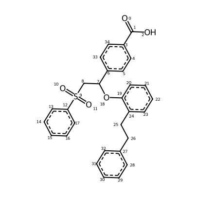 O=C(O)c1ccc(C(CS(=O)(=O)c2ccccc2)Oc2ccccc2CCc2ccccc2)cc1